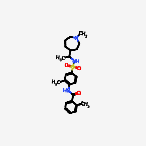 Cc1cc(S(=O)(=O)NC(C)C2CCCN(C)CC2)ccc1NC(=O)c1ccccc1C